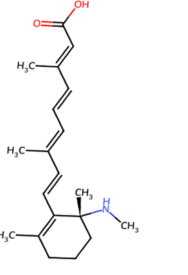 CN[C@]1(C)CCCC(C)=C1/C=C/C(C)=C/C=C/C(C)=C/C(=O)O